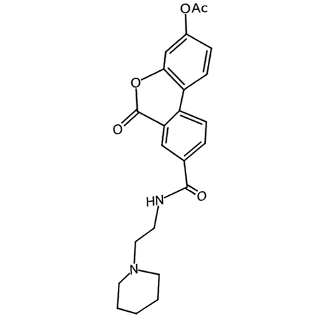 CC(=O)Oc1ccc2c(c1)oc(=O)c1cc(C(=O)NCCN3CCCCC3)ccc12